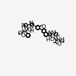 COC(=O)NC(C(=O)N1C[C@@H](C)CC1c1ncc(-c2ccc3c(c2)COc2cc4c(ccc5nc([C@@H]6CC[C@H](C)N6C(O)[C@@H](NC(=O)OC)C(C)C)[nH]c54)cc2-3)[nH]1)c1ccccc1